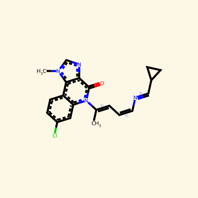 C\C(=C/C=C\N=C\C1CC1)n1c(=O)c2ncn(C)c2c2ccc(Cl)cc21